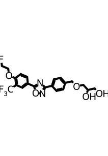 OCC(O)COCc1ccc(-c2noc(-c3ccc(OCCF)c(C(F)(F)F)c3)n2)cc1